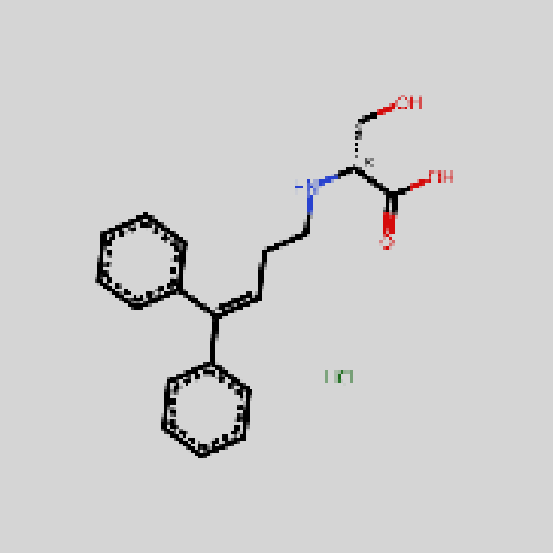 Cl.O=C(O)[C@@H](CO)NCCC=C(c1ccccc1)c1ccccc1